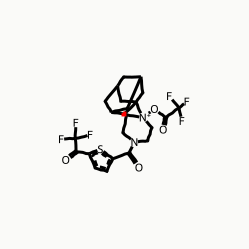 O=C(c1ccc(C(=O)C(F)(F)F)s1)N1CC[N+](OC(=O)C(F)(F)F)(C23CC4CC(CC(C4)C2)C3)CC1